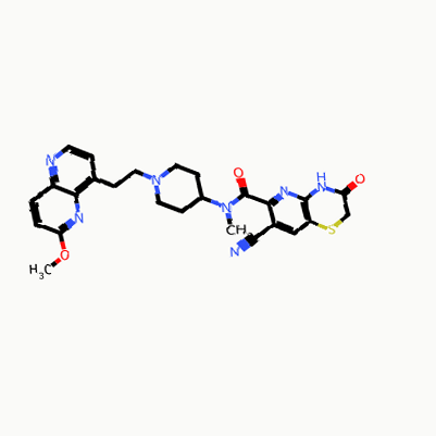 COc1ccc2nccc(CCN3CCC(N(C)C(=O)c4nc5c(cc4C#N)SCC(=O)N5)CC3)c2n1